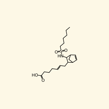 CCCCCCS(=O)(=O)NC1C2C=CC(C2)C1CC=CCCCC(=O)O